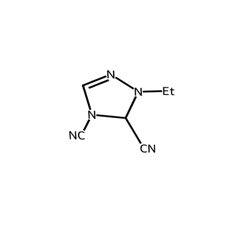 CCN1N=CN(C#N)C1C#N